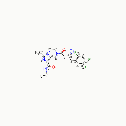 N#CCNC(=O)c1nc(C(F)(F)F)n2c1CN(C(=O)C[C@H](N)Cc1cc(F)c(F)cc1F)CC2